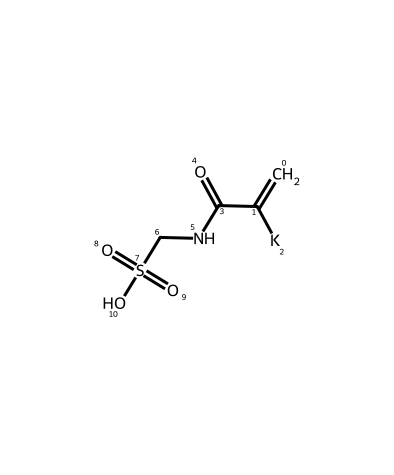 C=[C]([K])C(=O)NCS(=O)(=O)O